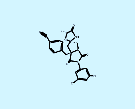 C[C@H]1O[C@@]2(CN3C(=O)N(c4cc(Cl)cc(Cl)c4)C(=O)[C@]3(Cc3ccc(C#N)cc3)C2)NC1=O